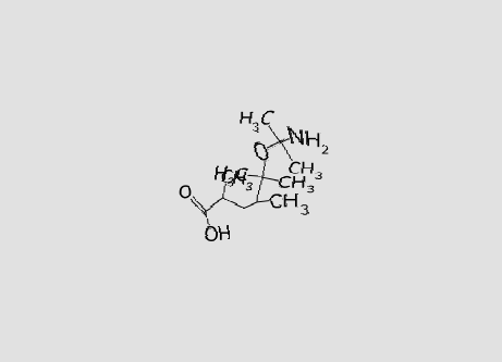 CC(CC(C)C(C)(C)OC(C)(C)N)C(=O)O